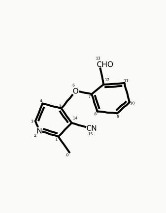 Cc1nccc(Oc2ccccc2C=O)c1C#N